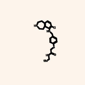 CC(C)(C)CNC(=O)CSc1ccc(CNc2c(Cl)ccc3c2CCNCC3)cc1